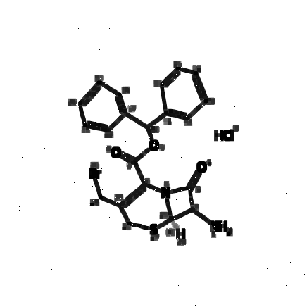 Cl.NC1C(=O)N2C(C(=O)OC(c3ccccc3)c3ccccc3)=C(CBr)CS[C@H]12